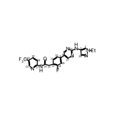 CCn1cc(Nc2ncc(-c3ccc(CC(=O)Nc4ccc(C(F)(F)F)cn4)c(F)c3)cn2)cn1